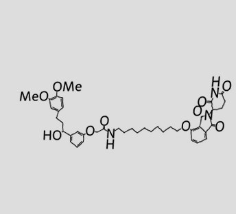 COc1ccc(CCC(O)c2cccc(OCC(=O)NCCCCCCCCCCOc3cccc4c3C(=O)N(C3CCC(=O)NC3=O)C4=O)c2)cc1OC